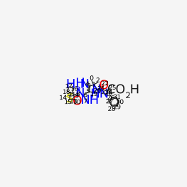 CC1(C)C(N)=C(C(=N)NC(=O)C2(S(C)(C)C)CCC2)CN1C(=O)NC(C(=O)O)c1ccccc1